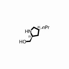 CCC[C@H]1CN[C@H](CO)C1